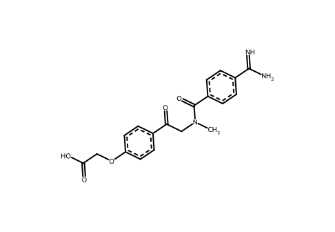 CN(CC(=O)c1ccc(OCC(=O)O)cc1)C(=O)c1ccc(C(=N)N)cc1